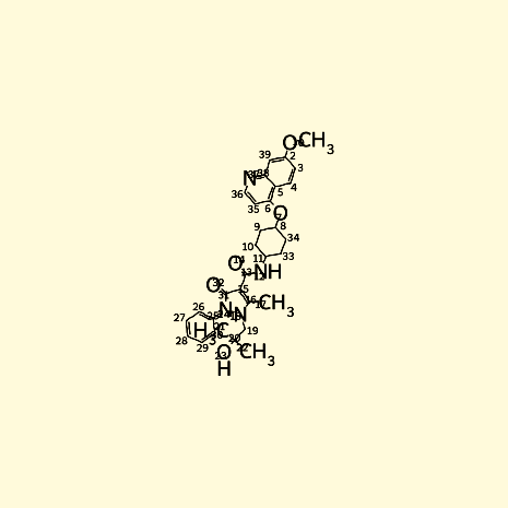 COc1ccc2c(OC3CCC(NC(=O)c4c(C)n(CC(C)(C)O)n(-c5ccccc5)c4=O)CC3)ccnc2c1